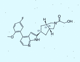 COc1ccc(F)cc1-c1ccnc2[nH]c([C@H]3C[C@@H]4CN(C(=O)CO)C[C@@H]4C3)cc12